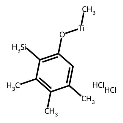 Cl.Cl.[CH3][Ti][O]c1cc(C)c(C)c(C)c1[SiH3]